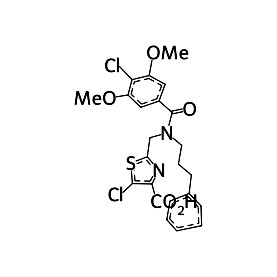 COc1cc(C(=O)N(CCCc2ccccc2)Cc2nc(C(=O)O)c(Cl)s2)cc(OC)c1Cl